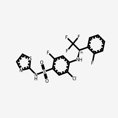 O=S(=O)(Nc1nccs1)c1cc(Cl)c(N[C@H](c2ccccc2F)C(F)(F)F)cc1F